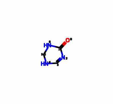 O=C1N=CN[C]N1